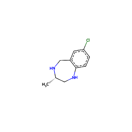 C[C@H]1CNc2ccc(Cl)cc2CN1